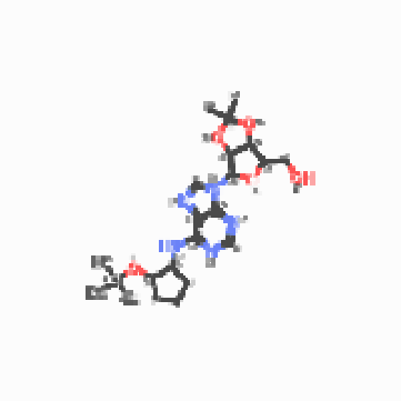 CC[Si](CC)(CC)OC1CCCC1Nc1ncnc2c1ncn2C1OC(CO)C2OC(C)(C)OC21